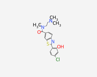 CN(C)CCN(C)C(=O)c1ccc2nc(-c3ccc(Cl)cc3O)sc2c1